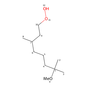 COC(C)(C)CCCC(C)CCOO